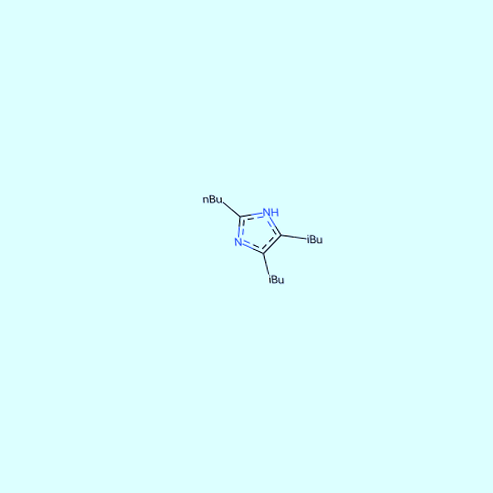 CCCCc1nc(C(C)CC)c(C(C)CC)[nH]1